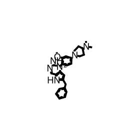 COc1cc(N2CCC(N(C)C)CC2)ccc1N1c2cc(Cc3ccccc3)[nH]c2C=NC1N